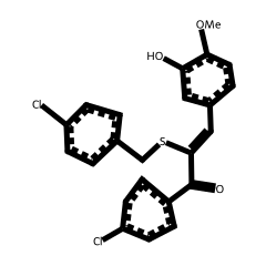 COc1ccc(C=C(SCc2ccc(Cl)cc2)C(=O)c2ccc(Cl)cc2)cc1O